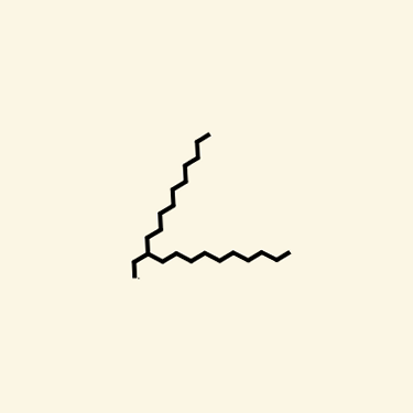 [CH2]CC(CCCCCCCCCC)CCCCCCCCCC